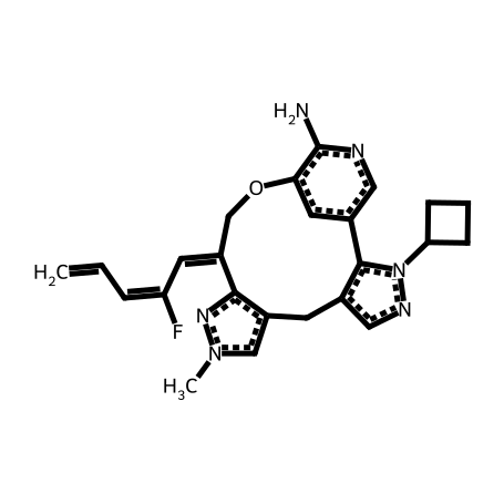 C=C/C=C(F)\C=C1\COc2cc(cnc2N)-c2c(cnn2C2CCC2)Cc2cn(C)nc21